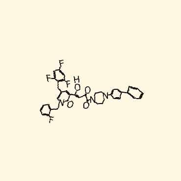 O=C(C=C(O)c1cc(Cc2c(F)cc(F)cc2F)cn(Cc2ccccc2F)c1=O)C(=O)N1CCN(c2ccc(-c3ccccc3)cc2)CC1